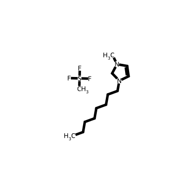 CCCCCCCCN1C=CN(C)C1.CS(F)(F)F